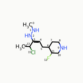 CNN/C(=C/CC1CCNC[C@H]1F)C(C)Cl